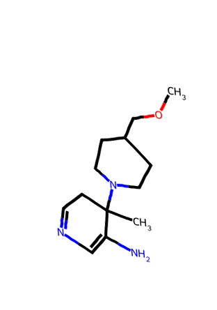 COCC1CCN(C2(C)CC=NC=C2N)CC1